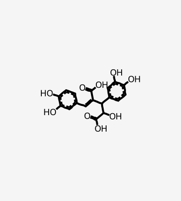 O=C(O)/C(=C\c1ccc(O)c(O)c1)C(c1ccc(O)c(O)c1)C(O)C(=O)O